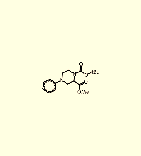 COC(=O)C1CN(c2ccncc2)CCN1C(=O)OC(C)(C)C